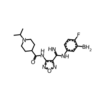 Bc1cc(NC(=N)c2nonc2NC(=O)C2CCN(C(C)C)CC2)ccc1F